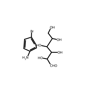 Nc1ccc(Br)cc1.O=CC(O)C(O)C(O)C(O)CO